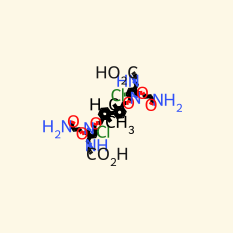 Cc1c(COc2nc(OCCC(N)=O)c(CNCC(=O)O)cc2Cl)cccc1-c1cccc(COc2nc(OCCC(N)=O)c(CNCC(=O)O)cc2Cl)c1C